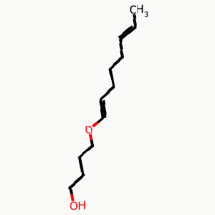 CC=CCCCC=COCCCCO